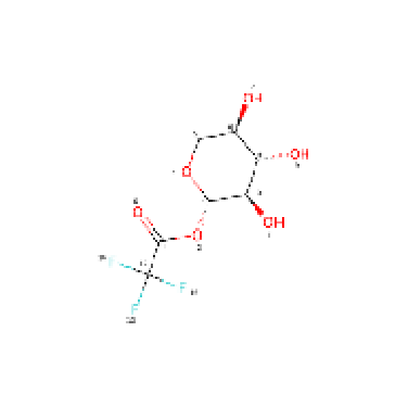 O=C(O[C@@H]1OC[C@@H](O)[C@H](O)[C@H]1O)C(F)(F)F